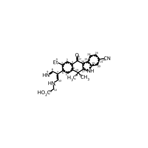 CCc1cc2c(cc1/C(C=N)=C/NCC(=O)O)C(C)(C)c1[nH]c3cc(C#N)ccc3c1C2=O